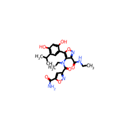 CCNC(=O)c1noc(-c2cc(C(C)C)c(O)cc2O)c1N(CC)C(=O)c1cc(C(N)=O)on1